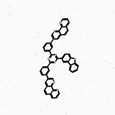 c1cc(-c2cnc3c(ccc4cccnc43)c2)cc(-c2nc(-c3cccc(-c4cnc5c(ccc6cccnc65)c4)c3)nc(-c3ccc4oc5ccccc5c4c3)n2)c1